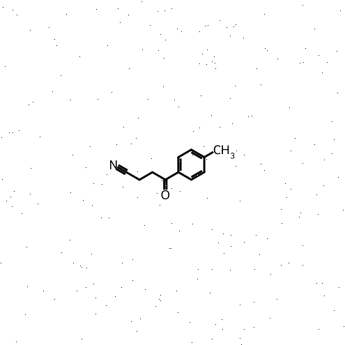 Cc1ccc(C(=O)CCC#N)cc1